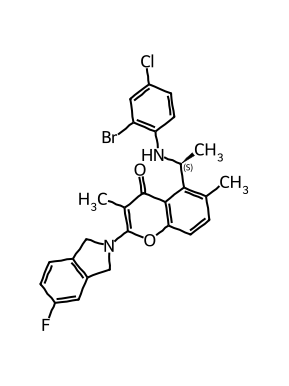 Cc1ccc2oc(N3Cc4ccc(F)cc4C3)c(C)c(=O)c2c1[C@H](C)Nc1ccc(Cl)cc1Br